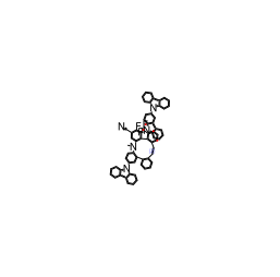 CN1c2ccc(-n3c4ccccc4c4ccccc43)cc2-c2ccccc2/C=C\c2cccc(C(F)(F)F)c2-c2c1cc(C#N)cc2-n1c2ccccc2c2cc(-n3c4ccccc4c4ccccc43)ccc21